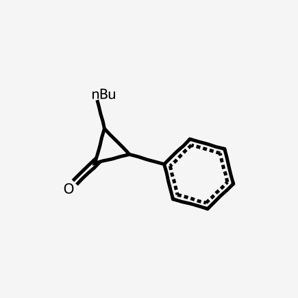 CCCCC1C(=O)C1c1ccccc1